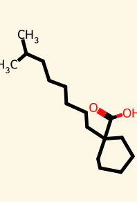 CC(C)CCCCCCC1(C(=O)O)CCCCC1